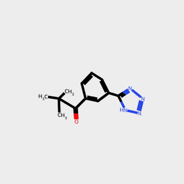 CC(C)(C)C(=O)c1cccc(-c2nnn[nH]2)c1